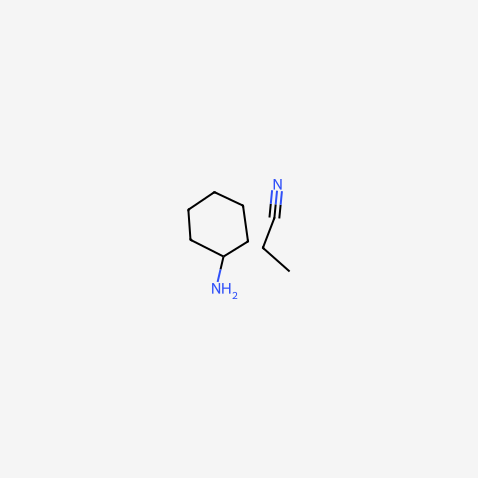 CCC#N.NC1CCCCC1